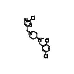 CN(Cc1cc(Cl)ccc1Cl)C1CCN(Cc2cnc(Cl)s2)CC1